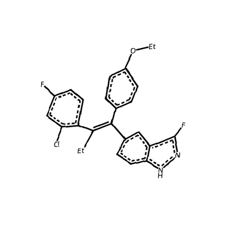 [CH2]COc1ccc(/C(=C(/CC)c2ccc(F)cc2Cl)c2ccc3[nH]nc(F)c3c2)cc1